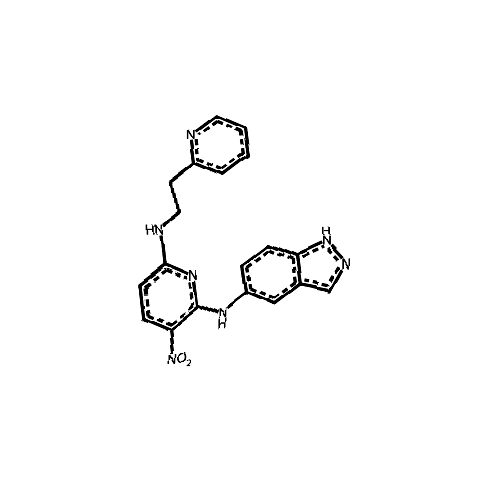 O=[N+]([O-])c1ccc(NCCc2ccccn2)nc1Nc1ccc2[nH]ncc2c1